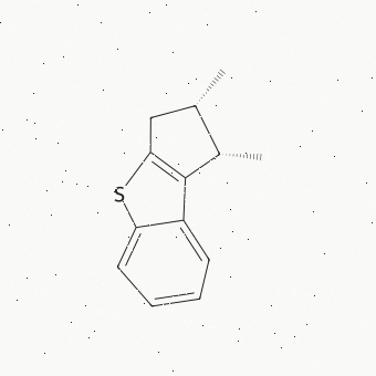 C[C@@H]1c2c(sc3ccccc23)C[C@@H]1C